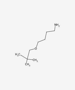 CC(C)(C)COCCCCN